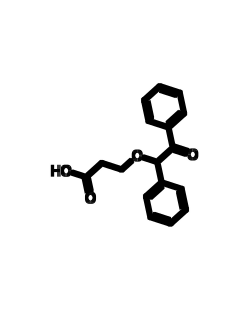 O=C(O)CCOC(C(=O)c1ccccc1)c1ccccc1